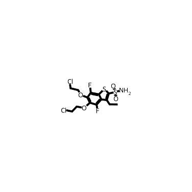 CCc1c(S(N)(=O)=O)sc2c(F)c(OCCCl)c(OCCCl)c(F)c12